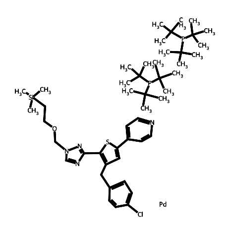 CC(C)(C)P(C(C)(C)C)C(C)(C)C.CC(C)(C)P(C(C)(C)C)C(C)(C)C.C[Si](C)(C)CCOCn1cnc(-c2sc(-c3ccncc3)cc2Cc2ccc(Cl)cc2)n1.[Pd]